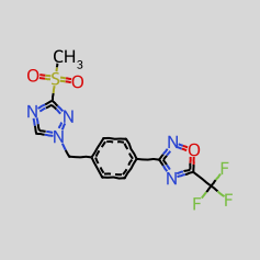 CS(=O)(=O)c1ncn(Cc2ccc(-c3noc(C(F)(F)F)n3)cc2)n1